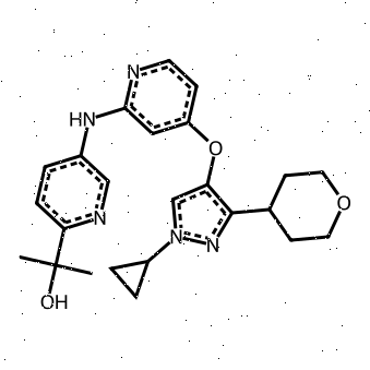 CC(C)(O)c1ccc(Nc2cc(Oc3cn(C4CC4)nc3C3CCOCC3)ccn2)cn1